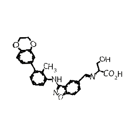 Cc1c(Nc2noc3ccc(C=N[C@@H](CO)C(=O)O)cc23)cccc1-c1ccc2c(c1)OCCO2